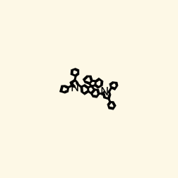 c1ccc(-c2cc(-c3ccccc3)nc(-c3ccc4c(c3)C3(c5ccccc5-c5ccccc53)c3cc(-c5cc(-c6ccccc6)cc(-c6ccccc6)n5)ccc3-4)c2)cc1